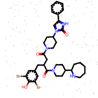 O=C(CC(Cc1cc(Br)c(O)c(Br)c1)C(=O)N1CCC(C2CCCCCN2)CC1)N1CCC(n2cc(-c3ccccc3)[nH]c2=O)CC1